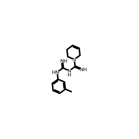 Cc1cccc(NC(=N)NC(=N)N2CC=CCC2)c1